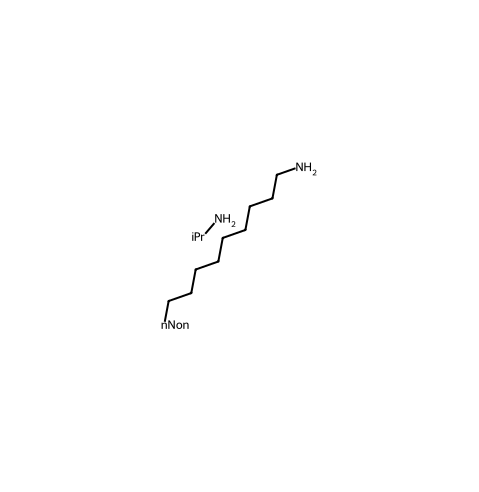 CC(C)N.CCCCCCCCCCCCCCCCCCN